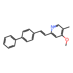 COc1cc(C=Cc2ccc(-c3ccccc3)cc2)ncc1C